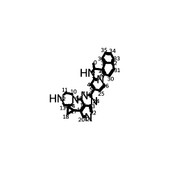 CC(Nc1cc(-c2nc(N3CCNCC3)c3c(C4CC4)cncc3n2)ccn1)c1cccc2ccccc12